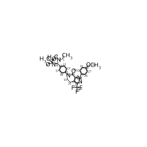 CCN(C)C(=NS(C)(=O)=O)c1ccc(N2CCc3c(C(F)(F)F)nn(-c4ccc(OC)cc4)c3C2=O)cc1